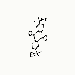 CCC(C)(C)c1ccc2c(c1)C(=O)c1ccc(C(C)(C)CC)cc1C2=O